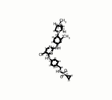 Cc1cc(Nc2ncc(Cl)c(Nc3ccc(CNS(=O)(=O)C4CC4)cc3)n2)ccc1N1C[C@@H]2C[C@H]1CN2C